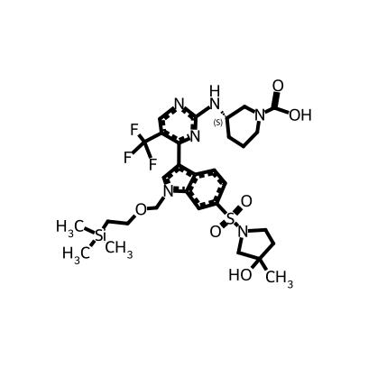 CC1(O)CCN(S(=O)(=O)c2ccc3c(-c4nc(N[C@H]5CCCN(C(=O)O)C5)ncc4C(F)(F)F)cn(COCC[Si](C)(C)C)c3c2)C1